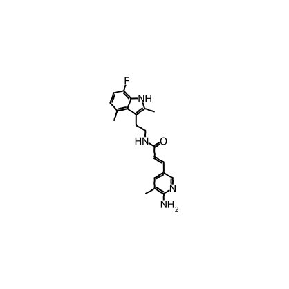 Cc1cc(C=CC(=O)NCCc2c(C)[nH]c3c(F)ccc(C)c23)cnc1N